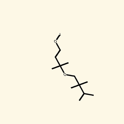 CC(C)C(C)(C)COC(C)(C)CCOI